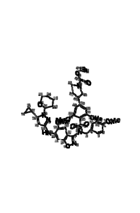 COc1ccc(CN(c2noc3cc(Nc4cc(C5CC5)n(C5CCCCO5)n4)c(OC)cc23)S(=O)(=O)c2c(OC)cc(C3CCN(C(=O)OC(C)(C)C)C3)cc2OC)cc1